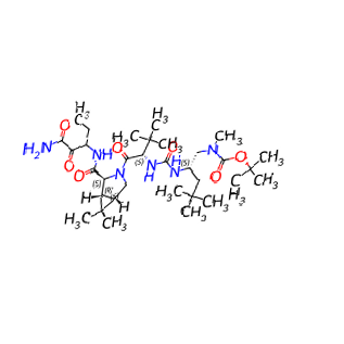 CCC(NC(=O)[C@@H]1[C@@H]2[C@H](CN1C(=O)[C@@H](NC(=O)N[C@H](CN(C)C(=O)OC(C)(C)C)CC(C)(C)C)C(C)(C)C)C2(C)C)C(=O)C(N)=O